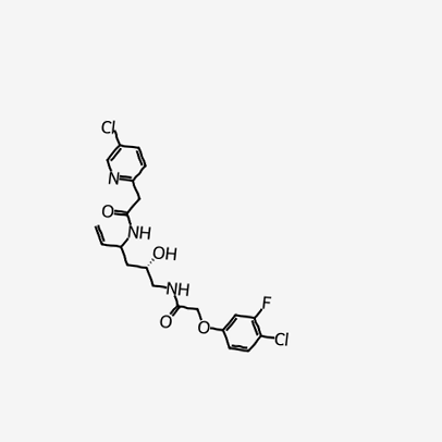 C=CC(C[C@H](O)CNC(=O)COc1ccc(Cl)c(F)c1)NC(=O)Cc1ccc(Cl)cn1